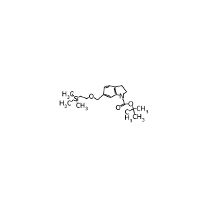 CC(C)(C)OC(=O)N1CCc2ccc(COCC[Si](C)(C)C)cc21